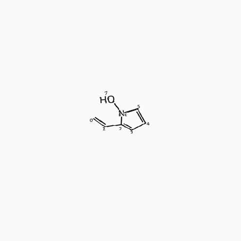 C=Cc1cccn1O